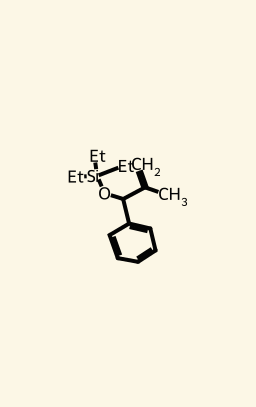 C=C(C)C(O[Si](CC)(CC)CC)c1ccccc1